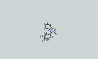 C=C1Sc2ccccc2N1c1ccccc1